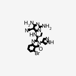 CC[C@H](Nc1nc(N)nc(N)c1C#N)c1nc2cccc(Br)c2c(=O)n1-c1cn[nH]c1